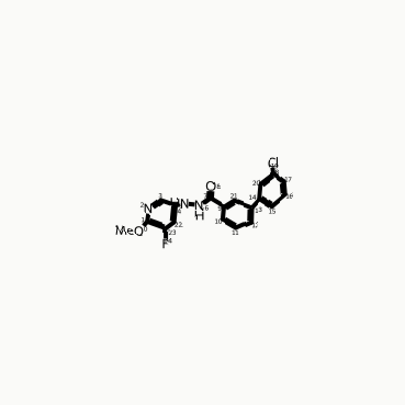 COc1ncc(NNC(=O)c2cccc(-c3cccc(Cl)c3)c2)cc1F